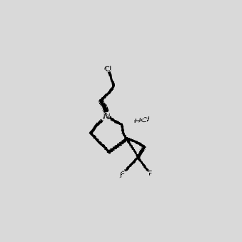 Cl.FC1(F)CC12CCN(CCCl)C2